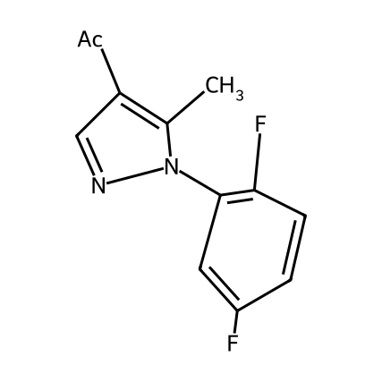 CC(=O)c1cnn(-c2cc(F)ccc2F)c1C